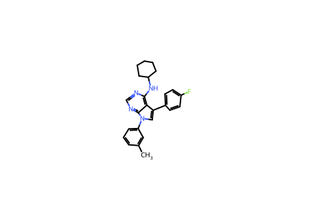 Cc1cccc(-n2cc(-c3ccc(F)cc3)c3c(NC4CCCCC4)ncnc32)c1